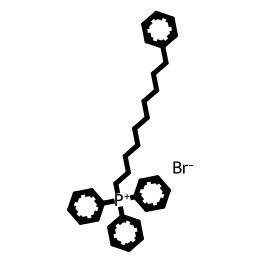 [Br-].c1ccc(CCCCCCCCCC[P+](c2ccccc2)(c2ccccc2)c2ccccc2)cc1